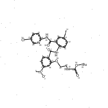 C[S+]([O-])c1ccc(C(=O)Nc2ccc(F)cc2C(=O)Nc2ccc(Cl)cn2)c(OCCNC(=O)OC(C)(C)C)c1